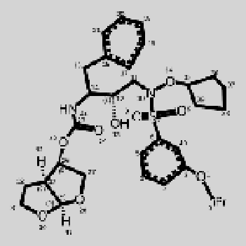 CC(C)Oc1cccc(S(=O)(=O)N(C[C@H](O)C(Cc2ccccc2)NC(=O)O[C@H]2CO[C@H]3OCC[C@H]32)OC2CCCC2)c1